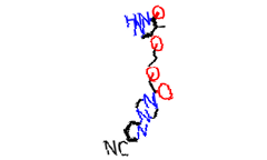 Cc1c(OCCCOCC(=O)N2CCN(c3ccc(C#N)cn3)CC2)cn[nH]c1=O